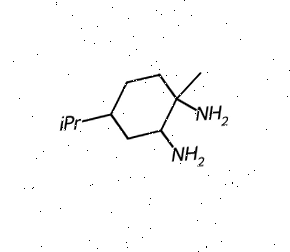 CC(C)C1CCC(C)(N)C(N)C1